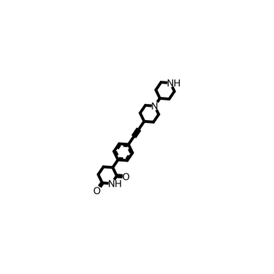 O=C1CCC(c2ccc(C#CC3CCN(C4CCNCC4)CC3)cc2)C(=O)N1